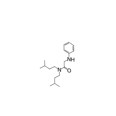 CC(C)CCN(CCC(C)C)C(=O)CNc1ccccc1